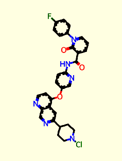 O=C(Nc1ccc(Oc2ccnc3cnc(C4CCN(Cl)CC4)cc23)cn1)c1cccn(-c2ccc(F)cc2)c1=O